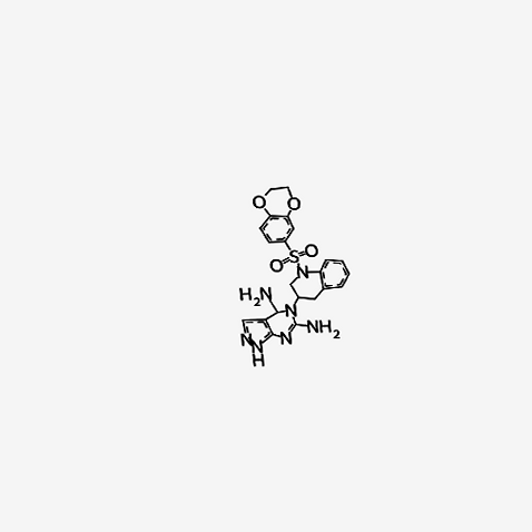 NC1=Nc2[nH]ncc2C(N)N1C1Cc2ccccc2N(S(=O)(=O)c2ccc3c(c2)OCCO3)C1